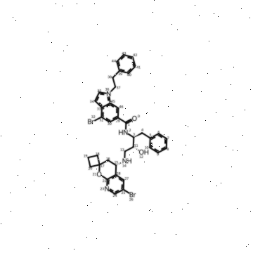 O=C(N[C@@H](Cc1ccccc1)[C@H](O)CN[C@H]1CC2(CCC2)Oc2ncc(Br)cc21)c1cc(Br)c2ccn(CCc3ccccc3)c2c1